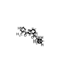 CC1CNCCN1C(=O)c1cn2c(C(=O)NC[C@@H]3CC[C@H]4C[C@H]3C4(C)C)cccc2n1